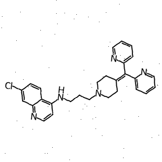 Clc1ccc2c(NCCCN3CCC(=C(c4ccccn4)c4ccccn4)CC3)ccnc2c1